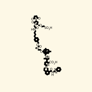 Cc1c(-c2ccc(N3CCc4cccc(C(=O)Nc5nc6ccccc6s5)c4C3)nc2C(=O)O)cnn1CC12CC3(C)CC(C)(C1)CC(OCCN(C)C(=O)OCc1[c]cc(CCCCNC(=O)CN4C(=O)[C@@H](N5C(=O)C=CC5=O)C[C@H]4COCCS(=O)(=O)O)cc1)(C3)C2